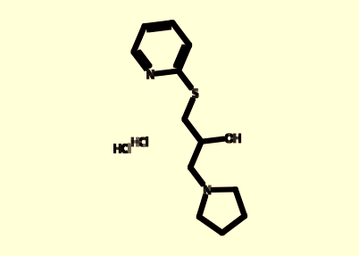 Cl.Cl.OC(CSc1ccccn1)CN1CCCC1